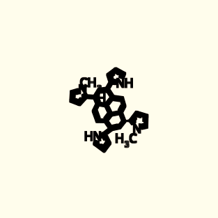 Cn1cccc1C1=C2C=CC3=C4C(=CC=C(C(c5ccc[nH]5)=C1)[C@@H]24)[C@H](c1cccn1C)C=C3c1ccc[nH]1